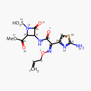 C=CCON=C(C(=O)NC1C(=O)N(S(=O)(=O)O)C1C(=O)OC)c1csc(N)n1